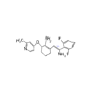 Cc1cc(OC2CCCC(/C=C(\N)c3c(F)cccc3F)=C2N)ccn1